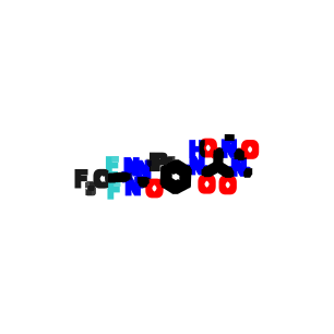 CC(C)n1nc(C(F)(F)C(F)(F)F)nc1Oc1ccc(NC(=O)C2C(=O)N(C)C(=O)N(C)C2=O)cc1